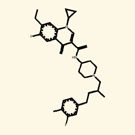 C=C(NC1CCN(CC(C)CCc2ccc(C)c(F)c2)CC1)C1=CN(C2CC2)c2cc(CC)c(F)cc2C1=C